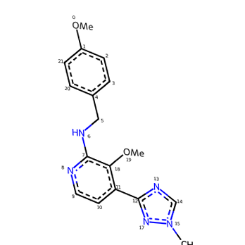 COc1ccc(CNc2nccc(-c3ncn(C)n3)c2OC)cc1